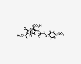 CC(=O)O[C@@H](C)[C@H]1C(=O)N2C(C(=O)O)=C(SC(=O)CCc3ccc([N+](=O)[O-])cc3)C[C@H]12